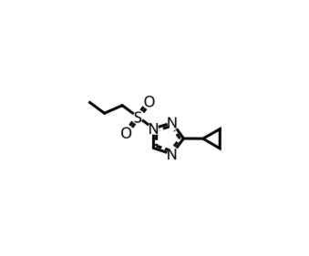 CCCS(=O)(=O)n1cnc(C2CC2)n1